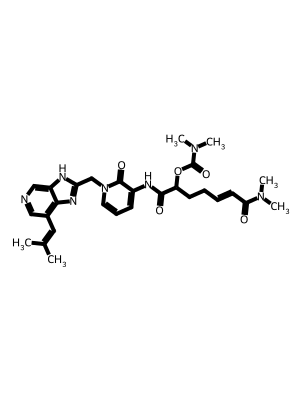 CC(C)=Cc1cncc2[nH]c(Cn3cccc(NC(=O)C(CCC=CC(=O)N(C)C)OC(=O)N(C)C)c3=O)nc12